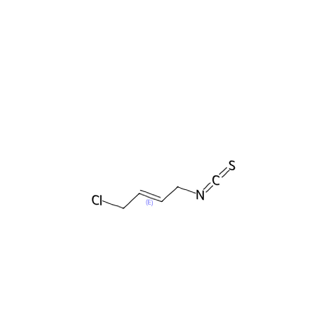 S=C=NC/C=C/CCl